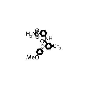 COc1ccc(Oc2ccc(C(F)(F)F)cc2C(=O)Nc2cccc(S(N)(=O)=O)c2)cc1